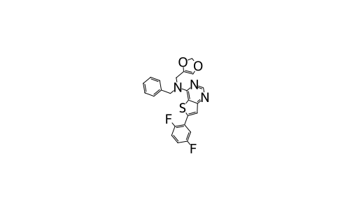 Fc1ccc(F)c(-c2cc3ncnc(N(CC4=COCO4)Cc4ccccc4)c3s2)c1